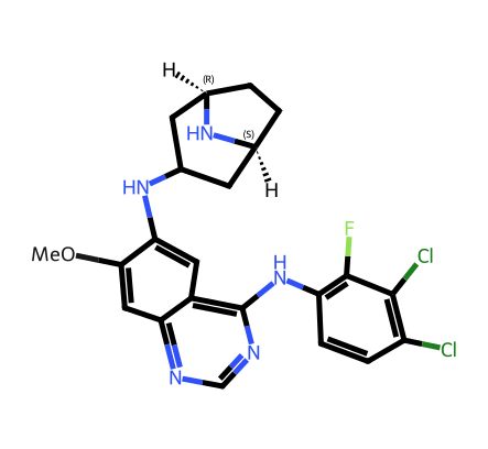 COc1cc2ncnc(Nc3ccc(Cl)c(Cl)c3F)c2cc1NC1C[C@H]2CC[C@@H](C1)N2